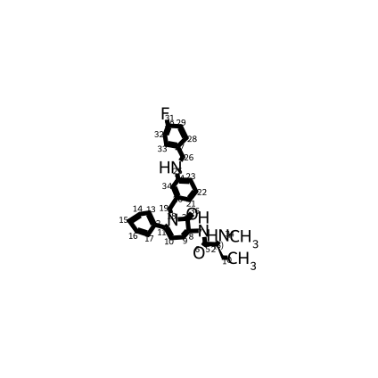 CC[C@H](NC)C(=O)Nc1ccc(-c2ccccc2)n(Cc2cccc(NCc3ccc(F)cc3)c2)c1=O